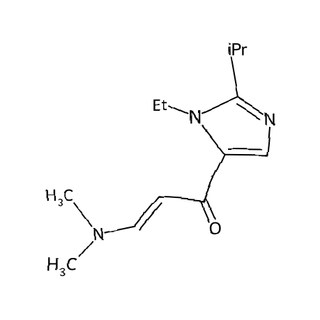 CCn1c(C(=O)C=CN(C)C)cnc1C(C)C